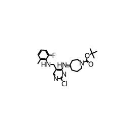 Cc1cccc(F)c1NCc1cnc(Cl)nc1N[C@@H]1CCCN(C(=O)OC(C)(C)C)CC1